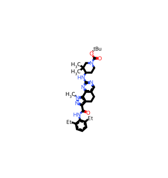 CCc1cccc(CC)c1NC(=O)c1nn(C)c2c1CCc1cnc(NC3CCN(C(=O)OC(C)(C)C)CC3(C)C)nc1-2